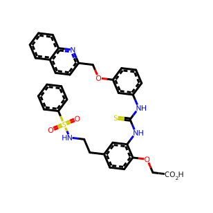 O=C(O)COc1ccc(CCNS(=O)(=O)c2ccccc2)cc1NC(=S)Nc1cccc(OCc2ccc3ccccc3n2)c1